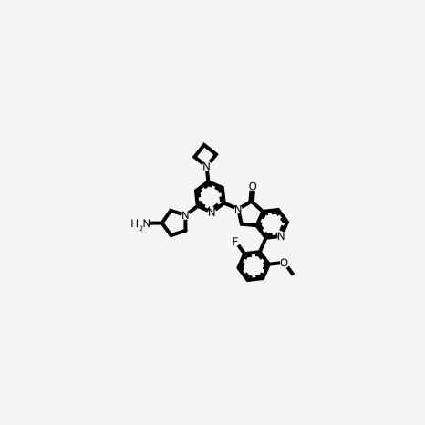 COc1cccc(F)c1-c1nccc2c1CN(c1cc(N3CCC3)cc(N3CCC(N)C3)n1)C2=O